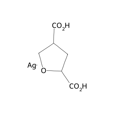 O=C(O)C1COC(C(=O)O)C1.[Ag]